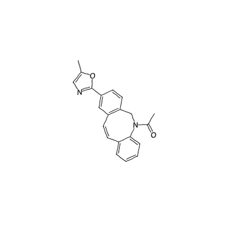 CC(=O)N1Cc2ccc(-c3ncc(C)o3)cc2C=Cc2ccccc21